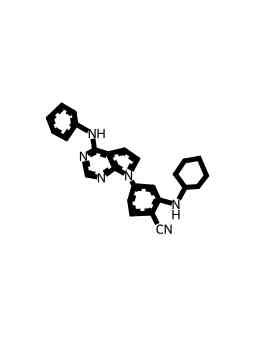 N#Cc1ccc(-n2ccc3c(Nc4ccccc4)ncnc32)cc1NC1CCCCC1